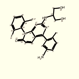 Cc1ccc(N)cc1-c1nc(NC(CO)CO)nc2c1ccc(=O)n2-c1c(F)cccc1F